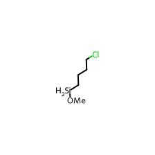 CO[SiH2]CCCCCl